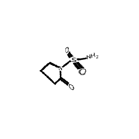 NS(=O)(=O)N1CCCC1=O